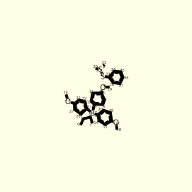 CCC(C)[B-](c1ccc(OC)cc1)(c1ccc(OC)cc1)c1ccc(OC)cc1.C[S+](C)Sc1ccccc1